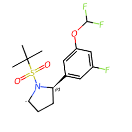 CC(C)(C)S(=O)(=O)N1[CH]CC[C@@H]1c1cc(F)cc(OC(F)F)c1